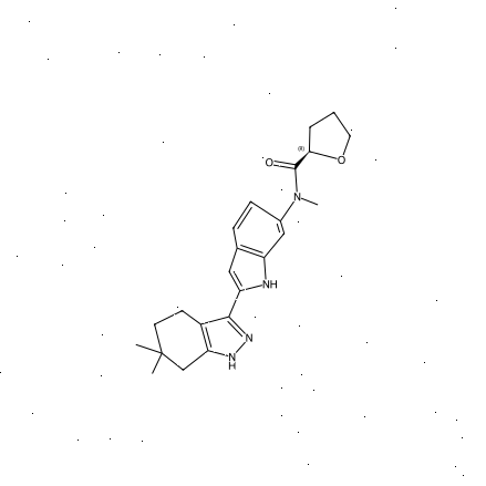 CN(C(=O)[C@H]1CCCO1)c1ccc2cc(-c3n[nH]c4c3CCC(C)(C)C4)[nH]c2c1